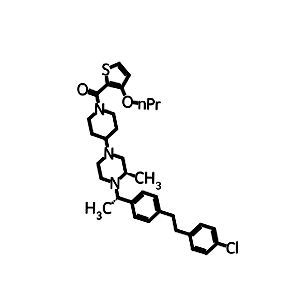 CCCOc1ccsc1C(=O)N1CCC(N2CCN([C@@H](C)c3ccc(CCc4ccc(Cl)cc4)cc3)[C@H](C)C2)CC1